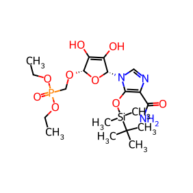 CCOP(=O)(CO[C@H]1O[C@@H](n2cnc(C(N)=O)c2O[Si](C)(C)C(C)(C)C)C(O)=C1O)OCC